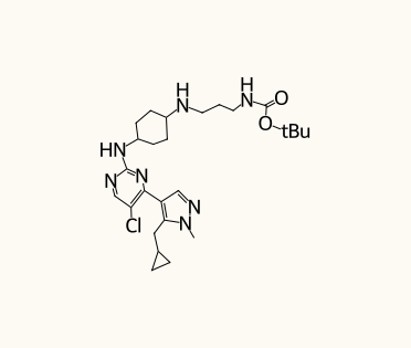 Cn1ncc(-c2nc(NC3CCC(NCCCNC(=O)OC(C)(C)C)CC3)ncc2Cl)c1CC1CC1